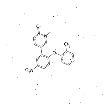 Cn1cc(-c2cc([N+](=O)[O-])ccc2Oc2ccccc2C(F)(F)F)ccc1=O